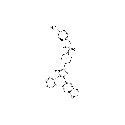 Cc1ccc(CS(=O)(=O)N2CCC(c3nc(-c4ccc5c(c4)OCO5)c(-c4ccccn4)[nH]3)CC2)cc1